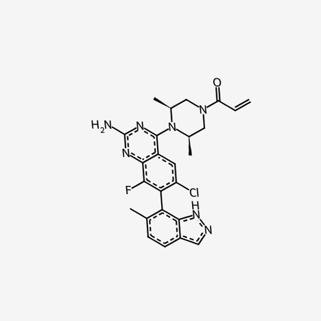 C=CC(=O)N1C[C@@H](C)N(c2nc(N)nc3c(F)c(-c4c(C)ccc5cn[nH]c45)c(Cl)cc23)[C@@H](C)C1